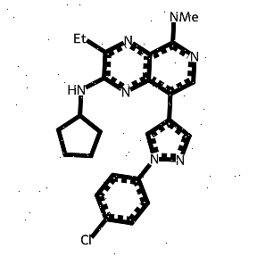 CCc1nc2c(NC)ncc(-c3cnn(-c4ccc(Cl)cc4)c3)c2nc1NC1CCCC1